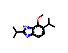 COc1c(C(C)C)ccc2nc(C(C)C)[nH]c12